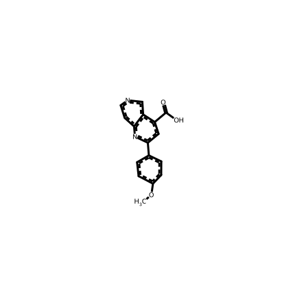 COc1ccc(-c2cc(C(=O)O)c3cnccc3n2)cc1